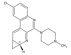 CN1CCN(c2nc3ccc(Cl)cc3c3c2=N[C@@H]2CC2C=3)CC1